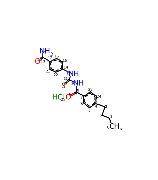 CCCCc1ccc(C(=O)NC(=S)Nc2ccc(C(N)=O)cc2)cc1.Cl